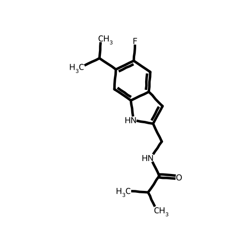 CC(C)C(=O)NCc1cc2cc(F)c(C(C)C)cc2[nH]1